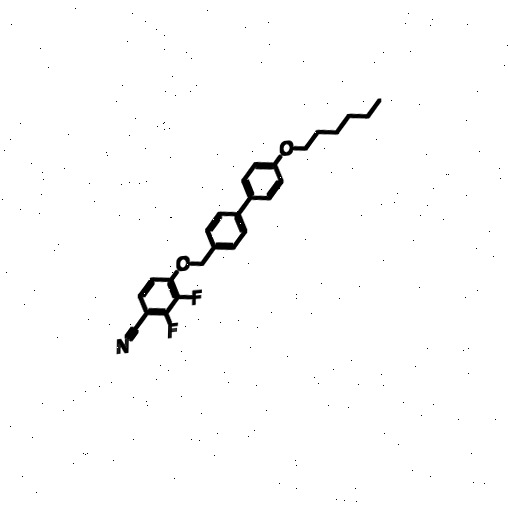 CCCCCCOc1ccc(-c2ccc(COc3ccc(C#N)c(F)c3F)cc2)cc1